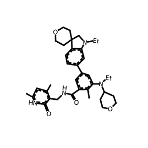 CCN1CC2(CCOCC2)c2ccc(-c3cc(C(=O)NCc4c(C)cc(C)[nH]c4=O)c(C)c(N(CC)C4CCOCC4)c3)cc21